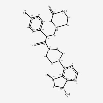 C[C@@H]1C[C@@H](O)c2ncnc(N3CCN(C(=O)C(CN4CCNC(=O)C4)c4ccc(Cl)cc4)CC3)c21